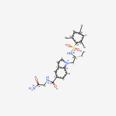 CC[C@H](Cn1ccc2cc(C(=O)NCC(N)=O)ccc21)NS(=O)(=O)c1c(C)cc(C)cc1C